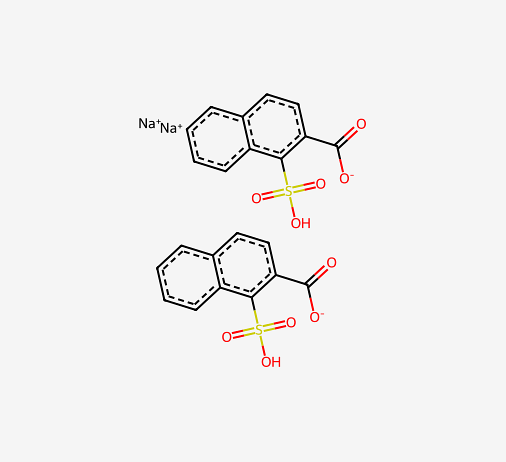 O=C([O-])c1ccc2ccccc2c1S(=O)(=O)O.O=C([O-])c1ccc2ccccc2c1S(=O)(=O)O.[Na+].[Na+]